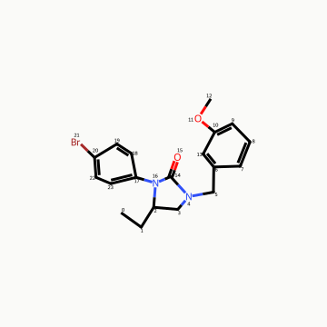 CCC1CN(Cc2cccc(OC)c2)C(=O)N1c1ccc(Br)cc1